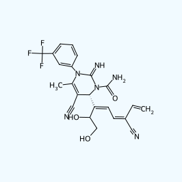 C=C/C(C#N)=C\C=C(/C(O)CO)[C@@H]1C(C#N)=C(C)N(c2cccc(C(F)(F)F)c2)C(=N)N1C(N)=O